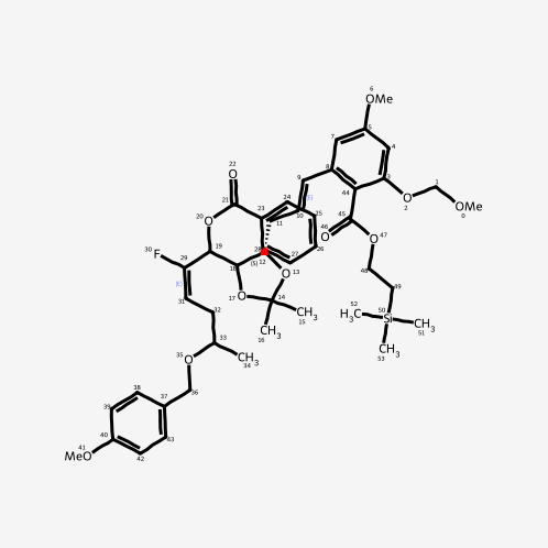 COCOc1cc(OC)cc(/C=C/C[C@@H]2OC(C)(C)OC2C(OC(=O)c2ccccc2)/C(F)=C\CC(C)OCc2ccc(OC)cc2)c1C(=O)OCC[Si](C)(C)C